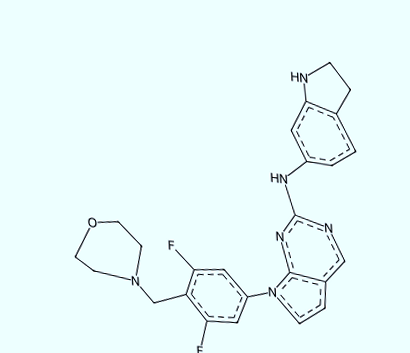 Fc1cc(-n2ccc3cnc(Nc4ccc5c(c4)NCC5)nc32)cc(F)c1CN1CCOCC1